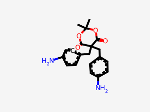 CC1(C)OC(=O)C(Cc2ccc(N)cc2)(Cc2ccc(N)cc2)C(=O)O1